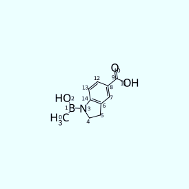 CB(O)N1CCc2cc(C(=O)O)ccc21